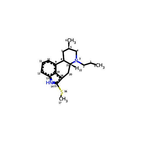 CCCN1C[C@H](C)CC2c3cccc4[nH]c(SC)c(c34)C[C@H]21